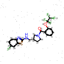 O=C(c1ccccc1OC(F)(F)C(F)F)N1CC[C@@H](CNc2nc3ccc(F)cc3s2)C1